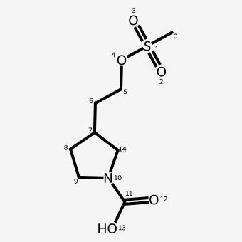 CS(=O)(=O)OCCC1CCN(C(=O)O)C1